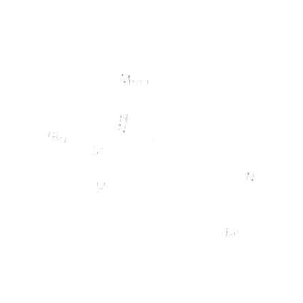 COCC(C)(N[S+]([O-])C(C)(C)C)c1ccnc(Br)c1